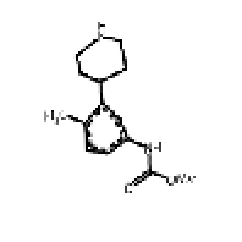 COC(=O)Nc1ccc(C)c(C2CCNCC2)c1